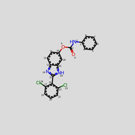 O=C(Nc1ccccc1)Oc1ccc2nc(-c3c(Cl)cccc3Cl)[nH]c2c1